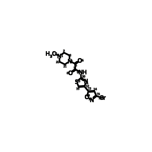 CN1CCN(C(=O)C(=O)Nc2nc(-c3cc(Br)no3)cs2)CC1